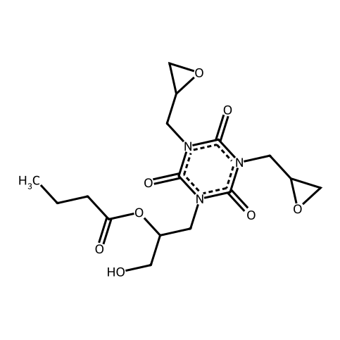 CCCC(=O)OC(CO)Cn1c(=O)n(CC2CO2)c(=O)n(CC2CO2)c1=O